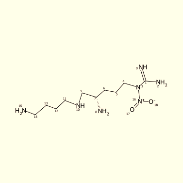 N=C(N)N(CCC[C@H](N)CNCCCCN)[N+](=O)[O-]